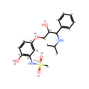 CC(C)NC(c1ccccc1)C(O)COc1ccc(O)c(NS(C)(=O)=O)c1